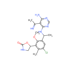 COc1c(C(C)Nc2ncnc(N)c2C(C)=N)cc(Cl)c(C)c1C1CNC(=O)O1